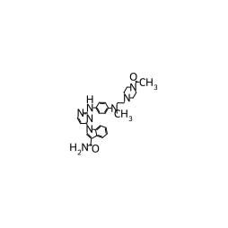 CC(=O)N1CCN(CCN(C)c2ccc(Nc3nccc(-n4cc(C(N)=O)c5ccccc54)n3)cc2)CC1